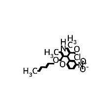 C/C=C/C=C/COC(=O)C1=C(C)NC(C)=C(C(=O)Cl)C1c1cccc([N+](=O)[O-])c1